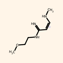 CN/C=C\C(=N)NCCOC